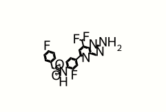 Nc1ncc2nc(-c3ccc(NS(=O)(=O)Cc4ccc(F)cc4)c(F)c3)cc(C(F)F)c2n1